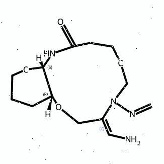 C=NN1CCCCC(=O)N[C@H]2CCCC[C@H]2OC/C1=C/N